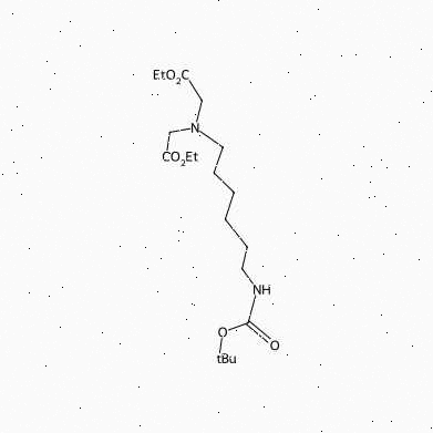 CCOC(=O)CN(CCCCCCNC(=O)OC(C)(C)C)CC(=O)OCC